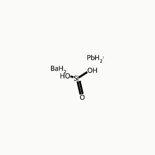 O=[Si](O)O.[BaH2].[PbH2]